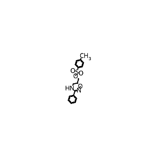 Cc1ccc(S(=O)(=O)OCC2CNC(c3ccccc3)=NO2)cc1